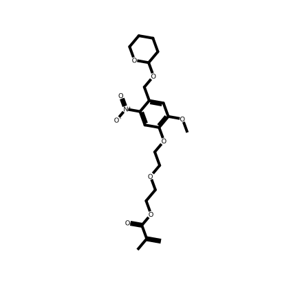 C=C(C)C(=O)OCCOCCOc1cc([N+](=O)[O-])c(COC2CCCCO2)cc1OC